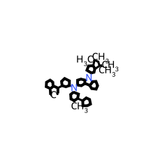 Cc1ccc(N(c2cccc(-c3cccc4ccccc34)c2)c2ccc3c(c2)c2ccccc2n3-c2ccc3c(c2)C(C)(C)CC3(C)C)cc1-c1ccccc1